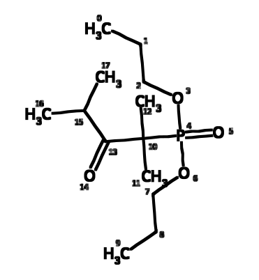 CCCOP(=O)(OCCC)C(C)(C)C(=O)C(C)C